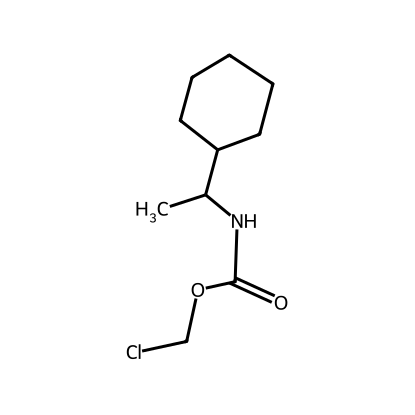 CC(NC(=O)OCCl)C1CCCCC1